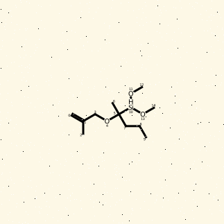 C=C(C)COC(C)(CCC)[SiH](OC)OC